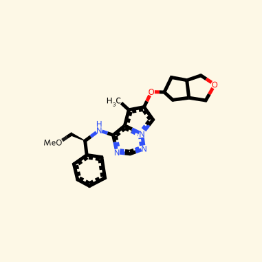 COC[C@@H](Nc1ncnn2cc(OC3CC4COCC4C3)c(C)c12)c1ccccc1